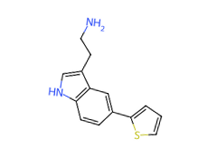 NCCc1c[nH]c2ccc(-c3cccs3)cc12